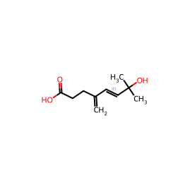 C=C(/C=C/C(C)(C)O)CCC(=O)O